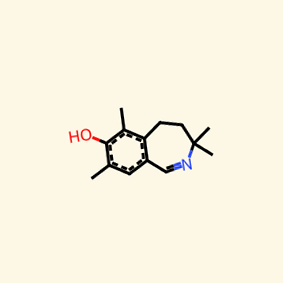 Cc1cc2c(c(C)c1O)CCC(C)(C)N=C2